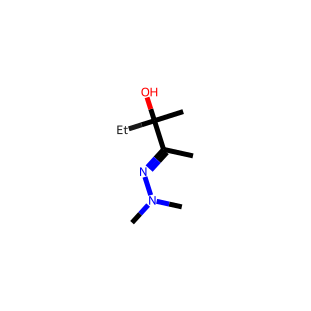 CCC(C)(O)C(C)=NN(C)C